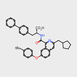 CC(C)(C)c1ccc(Oc2ccc3cc(CC4CCCC4)nc(C(=O)N[C@@H](Cc4ccc(-c5ccccc5)cc4)C(=O)O)c3c2)cc1